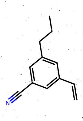 C=[C]c1cc(C#N)cc(CCC)c1